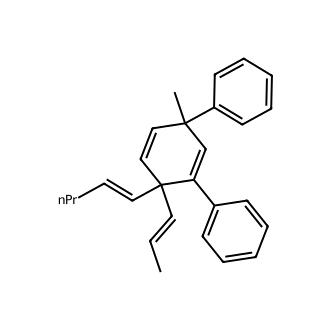 CC=CC1(C=CCCC)C=CC(C)(c2ccccc2)C=C1c1ccccc1